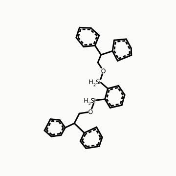 c1ccc(C(CO[SiH2]c2ccccc2[SiH2]OCC(c2ccccc2)c2ccccc2)c2ccccc2)cc1